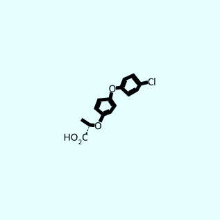 C[C@H](Oc1ccc(Oc2ccc(Cl)cc2)cc1)C(=O)O